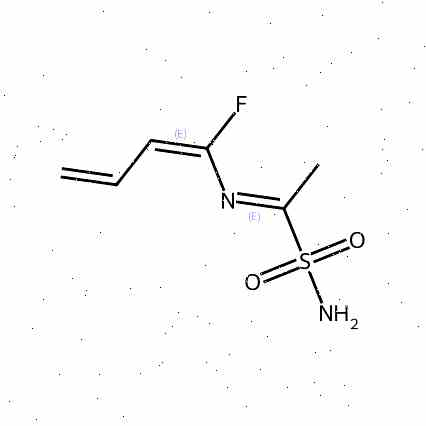 C=C/C=C(F)\N=C(/C)S(N)(=O)=O